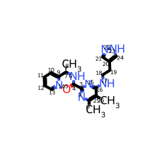 Cc1nc(C(=O)N[C@@H](C)c2ccccn2)nc(NCCc2cn[nH]c2)c1C